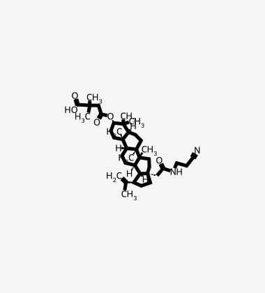 C=C(C)[C@@H]1CC[C@]2(CC(=O)NCCC#N)CC[C@]3(C)[C@H](CC[C@@H]4[C@@]5(C)CC[C@H](OC(=O)CC(C)(C)C(=O)O)C(C)(C)[C@@H]5CC[C@]43C)[C@@H]12